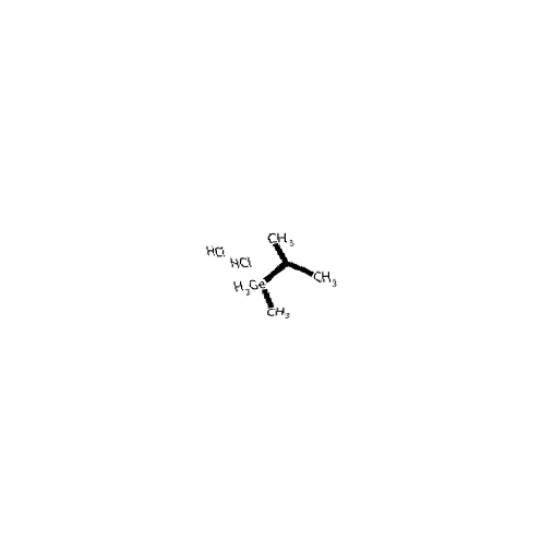 Cl.Cl.[CH3][GeH2][CH](C)C